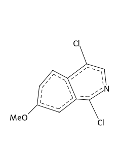 COc1ccc2c(Cl)cnc(Cl)c2c1